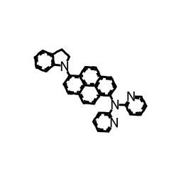 c1ccc(N(c2ccccn2)c2ccc3ccc4c(N5CCc6ccccc65)ccc5ccc2c3c54)nc1